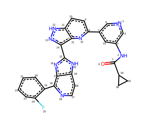 O=C(Nc1cncc(-c2ccc3[nH]nc(-c4nc5c(-c6ccccc6F)nccc5[nH]4)c3n2)c1)C1CC1